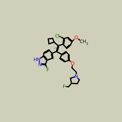 COc1ccc(/C(=C(\c2ccc(OCCN3CCC(CF)C3)cc2)c2ccc3[nH]nc(F)c3c2)C2CCC2)c(Cl)c1